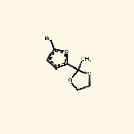 CC1(c2ccc(Br)o2)OCCO1